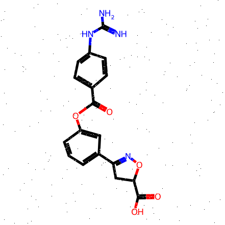 N=C(N)Nc1ccc(C(=O)Oc2cccc(C3=NOC(C(=O)O)C3)c2)cc1